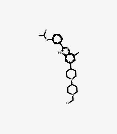 Cc1cc(C2CCN(C3CCN(CC(C)C)CC3)CC2)cc2[nH]c(-c3cccc(OC(F)F)c3)nc12